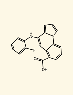 O=C(O)c1cccc2c1nc(Nc1ccccc1F)c1cccn12